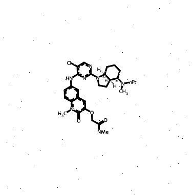 CCCN(C)[C@@H]1CCC[C@H]2[C@@H]1CCN2c1ncc(Cl)c(Nc2ccc3c(c2)cc(OCC(=O)NC)c(=O)n3C)n1